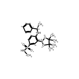 CNS(=O)(=O)c1ccc(N[C@H](C)c2ccccc2)c(B2OC(C)(C)C(C)(C)O2)c1